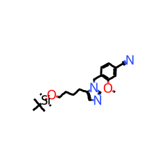 COc1cc(C#N)ccc1Cn1cncc1CCCCO[Si](C)(C)C(C)(C)C